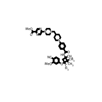 COC(=O)c1cnc(N2CCN(CC3CCN(c4ccc(C(=O)NC5(C)CC(C)(Oc6ccc(C#N)c(OC)c6)C5(C)C)cc4)CC3)CC2)cn1